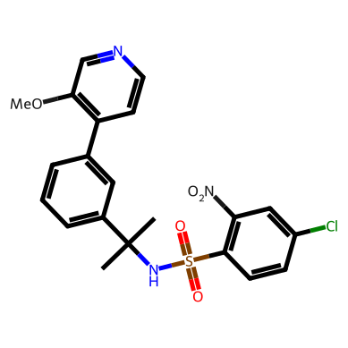 COc1cnccc1-c1cccc(C(C)(C)NS(=O)(=O)c2ccc(Cl)cc2[N+](=O)[O-])c1